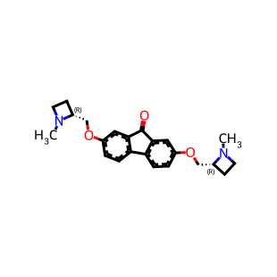 CN1CC[C@@H]1COc1ccc2c(c1)C(=O)c1cc(OC[C@H]3CCN3C)ccc1-2